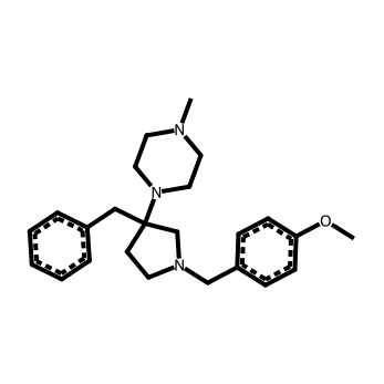 COc1ccc(CN2CCC(Cc3ccccc3)(N3CCN(C)CC3)C2)cc1